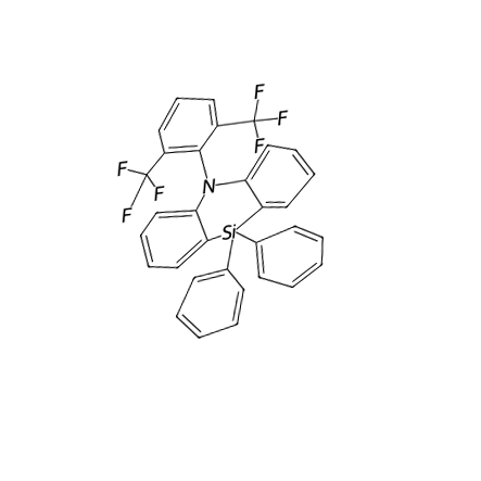 FC(F)(F)c1cccc(C(F)(F)F)c1N1c2ccccc2[Si](c2ccccc2)(c2ccccc2)c2ccccc21